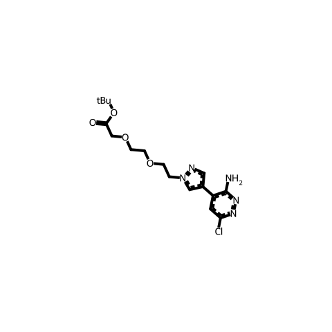 CC(C)(C)OC(=O)COCCOCCn1cc(-c2cc(Cl)nnc2N)cn1